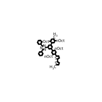 CCCCCCCCc1cc(-c2cc(-c3nc(-c4ccccc4)nc(-c4ccccc4)n3)cc(-c3cc(CCCCCCCC)c(-c4ccc(-c5ccc(C)s5)s4)cc3CCCCCCCC)c2)c(CCCCCCCC)cc1C